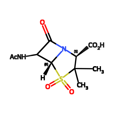 CC(=O)NC1C(=O)N2[C@@H](C(=O)O)C(C)(C)S(=O)(=O)[C@H]12